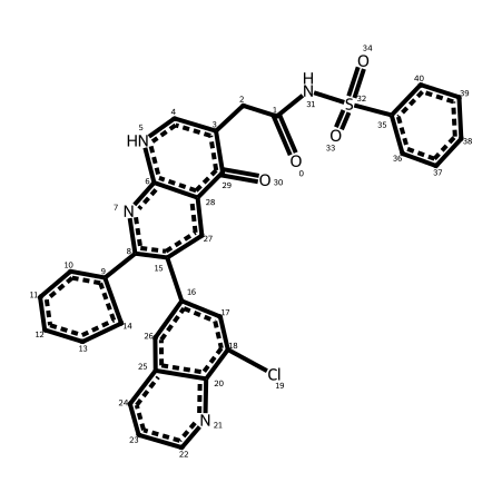 O=C(Cc1c[nH]c2nc(-c3ccccc3)c(-c3cc(Cl)c4ncccc4c3)cc2c1=O)NS(=O)(=O)c1ccccc1